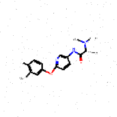 CC[C@H](C(=O)Nc1ccc(Oc2ccc(C)c(OC)c2)nc1)N(C(=O)O)C(C)(C)C